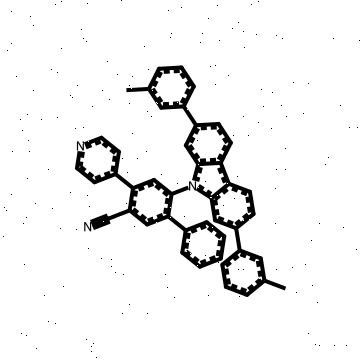 Cc1cccc(-c2ccc3c4ccc(-c5cccc(C)c5)cc4n(-c4cc(-c5ccncc5)c(C#N)cc4-c4ccccc4)c3c2)c1